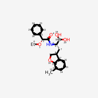 CCO[C@@H](C(=O)N[C@@H](CC1COc2c(C)cccc21)B(O)O)c1ccccc1